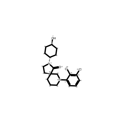 O=C1N([C@H]2CC[C@H](O)CC2)CC[C@@]12CCCN(c1cccc(Cl)c1Cl)C2